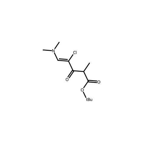 CC(C(=O)OC(C)(C)C)C(=O)C(Cl)=CN(C)C